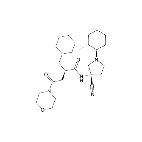 C[C@@H]1CCCC[C@H]1N1CC[C@](C#N)(NC(=O)[C@@H](CC(=O)N2CCOCC2)CC2CCCCC2)C1